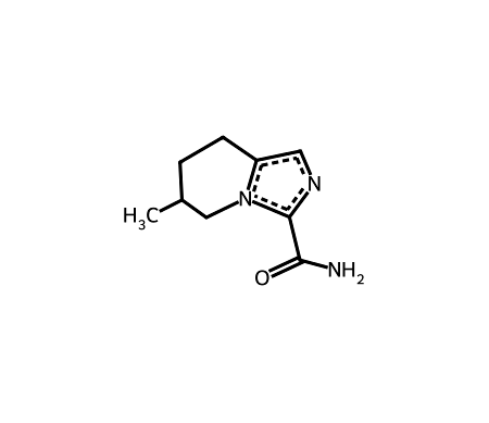 CC1CCc2cnc(C(N)=O)n2C1